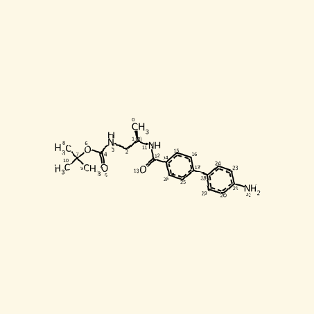 C[C@H](CNC(=O)OC(C)(C)C)NC(=O)c1ccc(-c2ccc(N)cc2)cc1